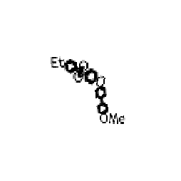 CCc1ccc(S(=O)(=O)c2ccc(Oc3ccc(-c4ccc(OC)cc4)cc3)cc2)cc1